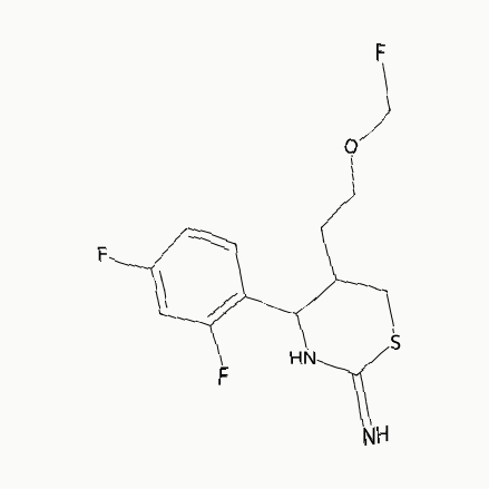 N=C1NC(c2ccc(F)cc2F)C(CCOCF)CS1